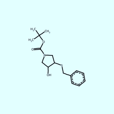 CC(C)(C)OC(=O)N1CC(O)C(SCc2ccccc2)C1